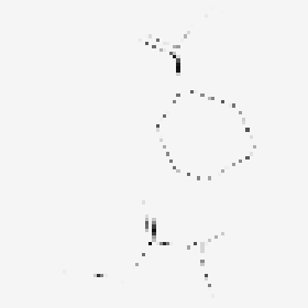 COC(=O)[C@H]1CC[C@H](CN(C)C(=O)OC(C)(C)C)CC1